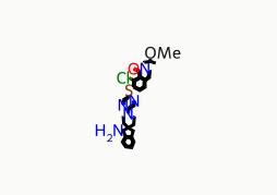 COC(C)Cn1ccc2ccc(Sc3cnc(N4CCC5(CC4)Cc4ccccc4[C@H]5N)cn3)c(Cl)c2c1=O